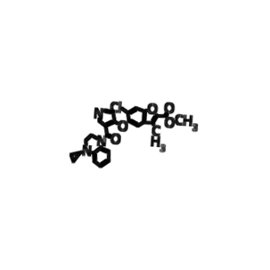 COC(=O)c1oc2cc(Cl)c(Oc3ccncc3C(=O)N3CCN(C4CC4)c4ccccc43)cc2c1C